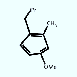 COc1ccc(CC(C)C)c(C)c1